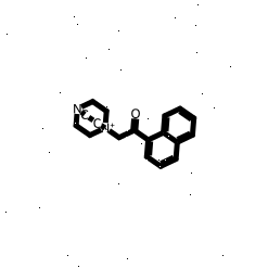 O=C(C[N+]12CCN(CC1)CC2)c1cccc2ccccc12